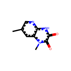 Cc1cnc2[nH]c(=O)c(=O)n(C)c2c1